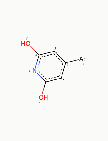 CC(=O)c1cc(O)nc(O)c1